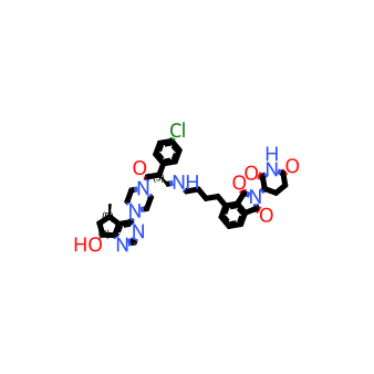 C[C@@H]1C[C@@H](O)c2ncnc(N3CCN(C(=O)[C@H](CNCCCCc4cccc5c4C(=O)N(C4CCC(=O)NC4=O)C5=O)c4ccc(Cl)cc4)CC3)c21